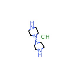 C1CN(N2CCNCC2)CCN1.Cl